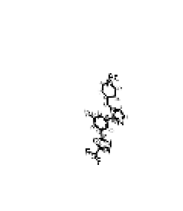 CC(=O)N1CCC(Cn2ccnc2-c2cc(F)cc(-c3nnc(C(F)F)o3)c2)CC1